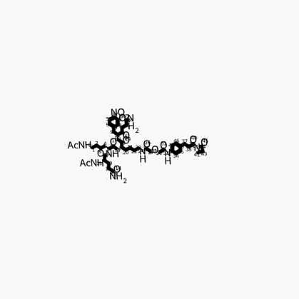 CC(=O)NCCCC[C@H](NC(=O)[C@H](CCC(N)=O)NC(C)=O)C(=O)C[C@@H](CCCCNC(=O)COCC(=O)Nc1ccc(CCC(=O)N2CCC2=O)cc1)C(=O)C[C@@H](Cc1ccc([N+](=O)[O-])cc1)C(=O)CCC(N)=O